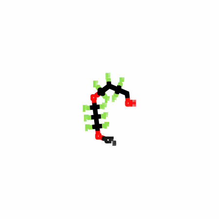 OCC(F)(F)C(F)C(F)(F)OC(F)(F)C(F)(F)C(F)(F)OC(F)(F)F